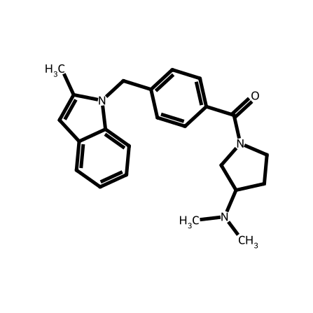 Cc1cc2ccccc2n1Cc1ccc(C(=O)N2CCC(N(C)C)C2)cc1